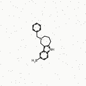 Bc1ccc2[nH]c3c(c2c1)CN(Cc1ccccc1)CCC3